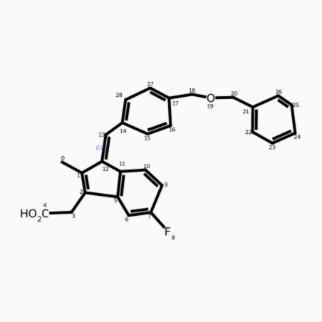 CC1=C(CC(=O)O)c2cc(F)ccc2/C1=C\c1ccc(COCc2ccccc2)cc1